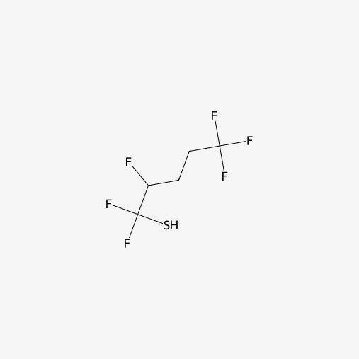 FC(CCC(F)(F)F)C(F)(F)S